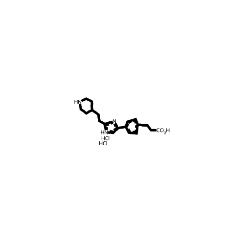 Cl.Cl.O=C(O)CCc1ccc(-c2c[nH]c(CCC3CCNCC3)n2)cc1